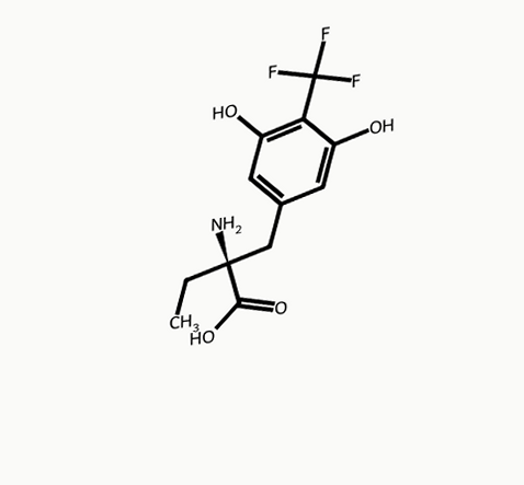 CC[C@](N)(Cc1cc(O)c(C(F)(F)F)c(O)c1)C(=O)O